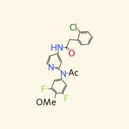 COc1c(F)cc(N(C(C)=O)c2cc(NC(=O)Cc3ccccc3Cl)ccn2)cc1F